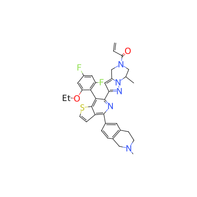 C=CC(=O)N1Cc2cc(-c3nc(-c4ccc5c(c4)CCN(C)C5)c4ccsc4c3-c3c(F)cc(F)cc3OCC)nn2C(C)C1